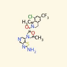 C[C@@H]1CN(c2cncc3nc(N)sc23)C[C@H](C(=O)N2CCc3cc(C(F)(F)F)cc(Cl)c3[C@@H]2C)O1